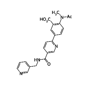 CC(=O)N(C)c1ccc(-c2ccc(C(=O)NCc3cccnc3)cn2)cc1C(=O)O